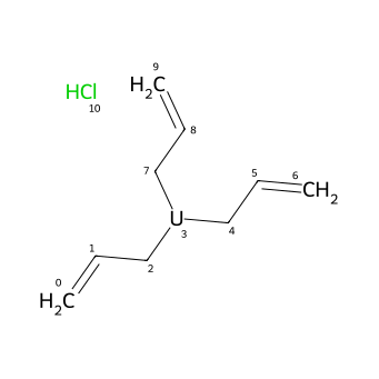 C=C[CH2][U]([CH2]C=C)[CH2]C=C.Cl